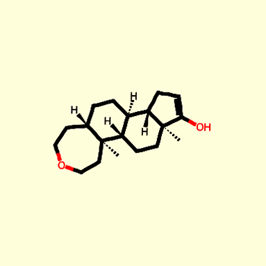 C[C@]12CCOCC[C@@H]1CC[C@@H]1[C@@H]2CC[C@]2(C)C(O)=CC[C@@H]12